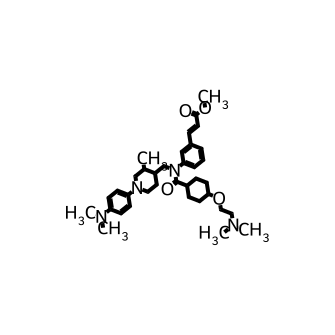 COC(=O)/C=C/c1cccc(N(CC2CCN(c3ccc(N(C)C)cc3)CC2C)C(=O)C2CCC(OCCN(C)C)CC2)c1